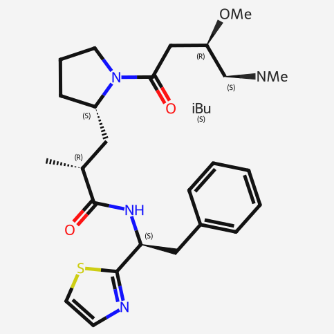 CC[C@H](C)[C@H](NC)[C@@H](CC(=O)N1CCC[C@H]1C[C@@H](C)C(=O)N[C@@H](Cc1ccccc1)c1nccs1)OC